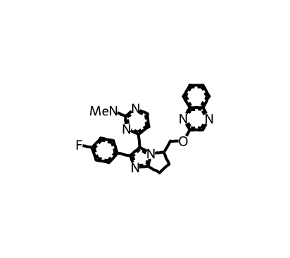 CNc1nccc(-c2c(-c3ccc(F)cc3)nc3n2C(COc2cnc4ccccc4n2)CC3)n1